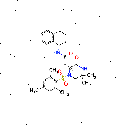 Cc1cc(C)c(S(=O)(=O)N2CC(C)(C)NC(=O)[C@H]2CC(=O)NC2CCCc3ccccc32)c(C)c1